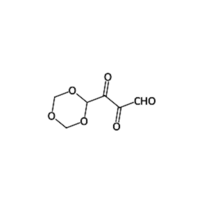 O=CC(=O)C(=O)C1OCOCO1